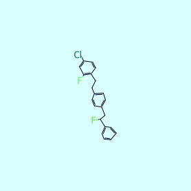 Fc1cc(Cl)ccc1CCc1ccc(C[C@H](F)c2ccccc2)cc1